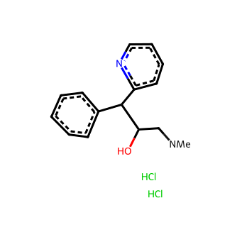 CNCC(O)C(c1ccccc1)c1ccccn1.Cl.Cl